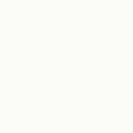 CCCCCCCC/C=C\CCCCCCCCCCCCCC(=O)[O-].[Na+]